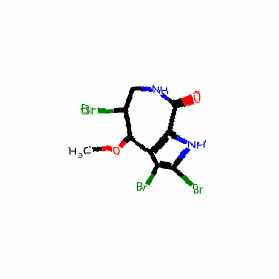 COC1c2c([nH]c(Br)c2Br)C(=O)NCC1Br